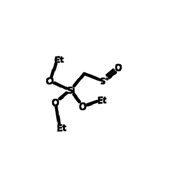 CCO[Si](C[S+]=O)(OCC)OCC